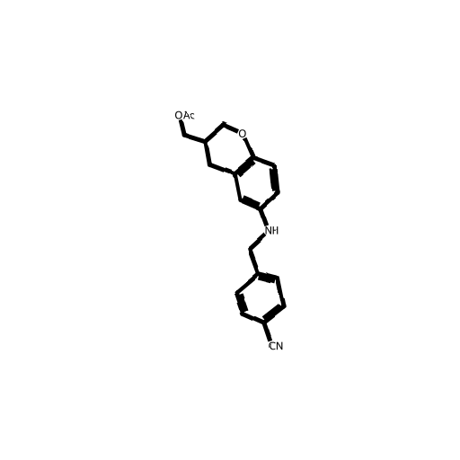 CC(=O)OCC1COc2ccc(NCc3ccc(C#N)cc3)cc2C1